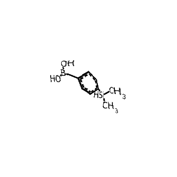 C[SiH](C)c1ccc(B(O)O)cc1